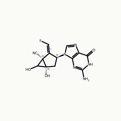 N#C[C@]12/C(=C\F)[C@@H](n3cnc4c(=O)[nH]c(N)nc43)C[C@@]1(O)C2O